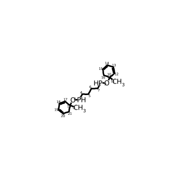 CC1(OPCCCCPOC2(C)C=CC=CC2)C=CC=CC1